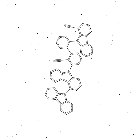 N#Cc1c(-c2ccccc2-n2c3ccccc3c3cccc(C#N)c32)cccc1-n1c2ccccc2c2c(-n3c4ccccc4c4ccccc43)cccc21